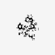 CCC(CC)COC(=O)[C@H](CC(C)C)NP(=O)(OC[C@@]1(C)O[C@@H](c2ccc3c(N)ncnn23)[C@H](O)[C@@H]1O)Oc1ccccc1